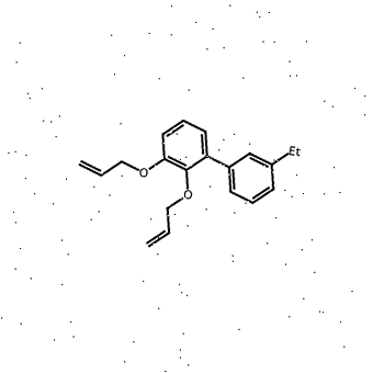 C=CCOc1cccc(-c2cccc(CC)c2)c1OCC=C